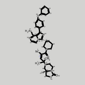 CC(C)(/C=C(/C#N)C(=O)N1CCC[C@@H](c2nc(-c3ccc(Oc4ccccc4)cc3)c3c([AsH2])nccn23)C1)N1CCN2C(=O)OC[C@@H]2C1